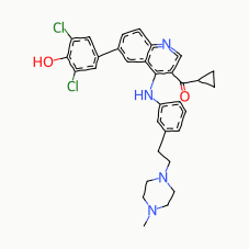 CN1CCN(CCc2cccc(Nc3c(C(=O)C4CC4)cnc4ccc(-c5cc(Cl)c(O)c(Cl)c5)cc34)c2)CC1